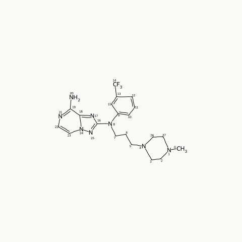 CN1CCN(CCCN(c2cccc(C(F)(F)F)c2)c2nc3c(N)nccn3n2)CC1